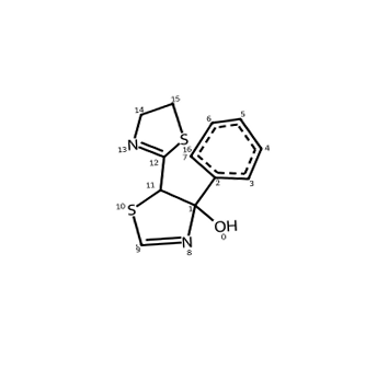 OC1(c2ccccc2)N=[C]SC1C1=NCCS1